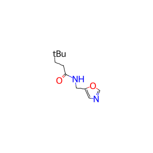 CC(C)(C)CCC(=O)NCc1cnco1